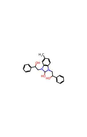 Cc1ccc2c(c1)N(CC(O)c1ccccc1)C(O)N2CC(O)c1ccccc1